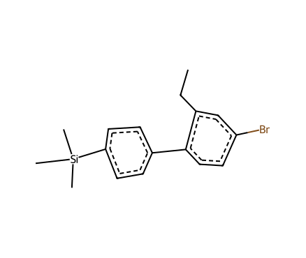 CCc1cc(Br)ccc1-c1ccc([Si](C)(C)C)cc1